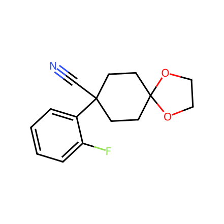 N#CC1(c2ccccc2F)CCC2(CC1)OCCO2